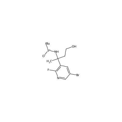 CC(CCO)(N[S+]([O-])C(C)(C)C)c1cc(Br)cnc1F